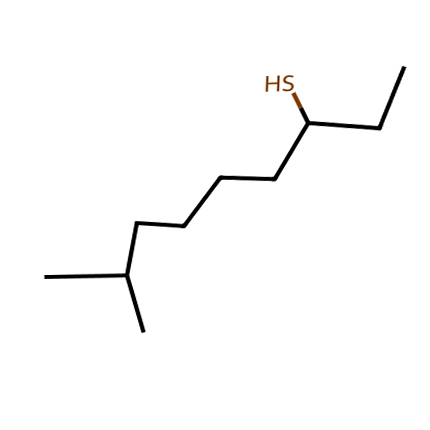 CCC(S)CCCCC(C)C